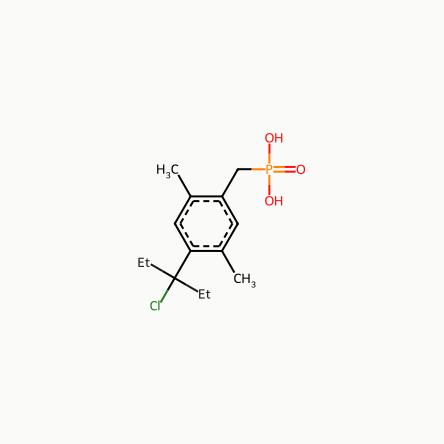 CCC(Cl)(CC)c1cc(C)c(CP(=O)(O)O)cc1C